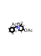 CC(=O)OC1CCN(Cc2ccccc2)C(C)(OC(C)=O)C1